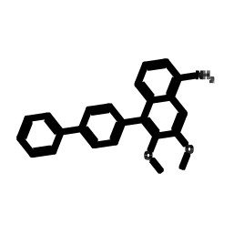 COc1cc2c(N)cccc2c(-c2ccc(-c3ccccc3)cc2)c1OC